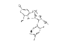 Cc1nn(C)c(Nc2c(F)cc(Cl)cc2F)c1-c1ccc(F)cc1F